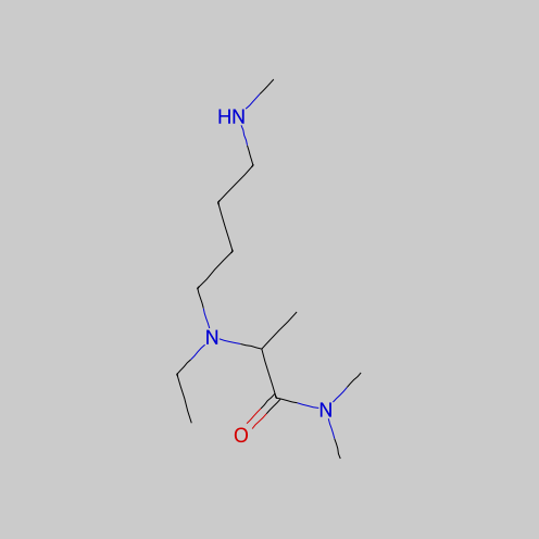 CCN(CCCCNC)C(C)C(=O)N(C)C